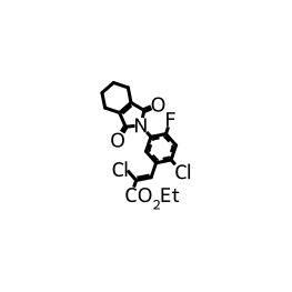 CCOC(=O)C(Cl)=Cc1cc(N2C(=O)C3=C(CCCC3)C2=O)c(F)cc1Cl